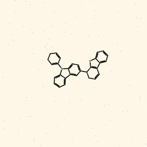 C1=CC(n2c3ccccc3c3cc(C4CC=Cc5c4sc4ccccc54)ccc32)=CCC1